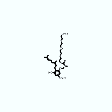 CCCCCc1cc(O)c(CC=C(C)CCC=C(C)C)c(OCN(C)C(=O)OCCOCCOCCOCCOC)c1